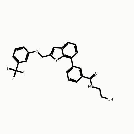 O=C(NCCO)c1cccc(-c2cccc3cc(COc4cccc(C(F)(F)F)c4)sc23)c1